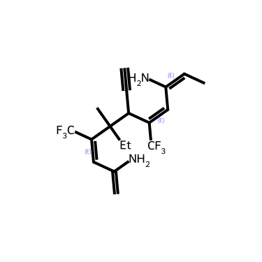 C#CC(/C(=C\C(N)=C/C)C(F)(F)F)C(C)(CC)/C(=C\C(=C)N)C(F)(F)F